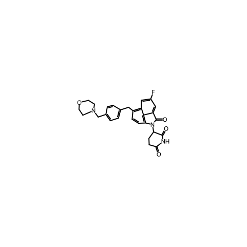 O=C1CCC(N2C(=O)c3cc(F)cc4c(Cc5ccc(CN6CCOCC6)cc5)ccc2c34)C(=O)N1